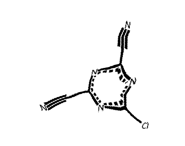 N#Cc1nc(Cl)nc(C#N)n1